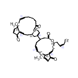 CC/C=C\C[C@H]1C/C=C2/C(=O)C=C[C@@]2(C)C/C=C\CC(/C(=C/CC)C[C@H]2C/C=C3/C(=O)C=C[C@]3(C)C/C=C\CCCC(=O)O2)CC(=O)O1